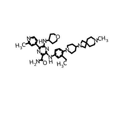 CCc1cc(Nc2nc(NC3CCOCC3)c(-c3ccnc(C)c3)nc2C(N)=O)ccc1N1CCC(N2CC3(CCN(C)CC3)C2)CC1